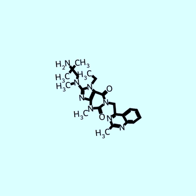 CCn1c(N(C)CC(C)(C)N)nc2c1c(=O)n(Cc1nc(C)nc3ccccc13)c(=O)n2C